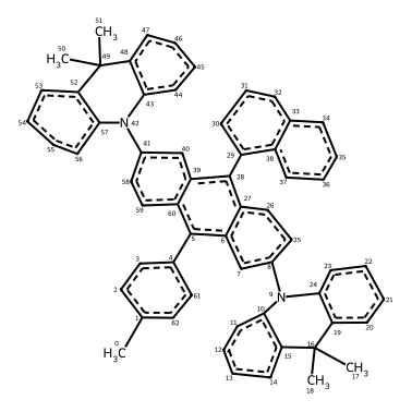 Cc1ccc(-c2c3cc(N4c5ccccc5C(C)(C)c5ccccc54)ccc3c(-c3cccc4ccccc34)c3cc(N4c5ccccc5C(C)(C)c5ccccc54)ccc23)cc1